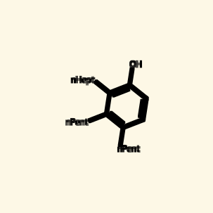 CCCCCCCc1c(O)ccc(CCCCC)c1CCCCC